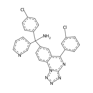 NC(c1ccc(Cl)cc1)(c1cccnc1)c1ccc2c(c1)c(-c1cccc(Cl)c1)nc1nnnn12